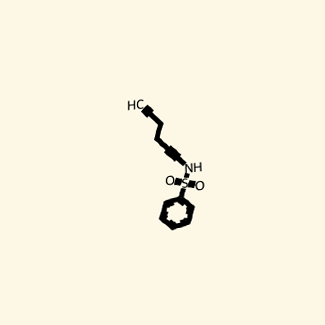 C#CCCC#CNS(=O)(=O)c1ccccc1